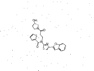 O=C(CCN(C(=O)c1cccs1)c1nc(-c2cc3ccccc3o2)cs1)N1CCC(O)C1